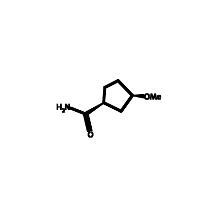 CO[C@@H]1CC[C@H](C(N)=O)C1